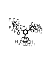 CN(C(=O)C(F)(OC(F)(F)C(F)(F)C(F)(F)F)C(F)(F)F)c1cc(B2OC(C)(C)C(C)(C)O2)cc(B2OC(C)(C)C(C)(C)O2)c1